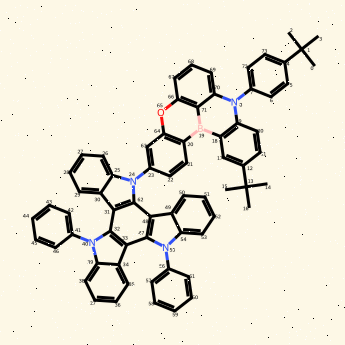 CC(C)(C)c1ccc(N2c3ccc(C(C)(C)C)cc3B3c4ccc(-n5c6ccccc6c6c7c(c8ccccc8n7-c7ccccc7)c7c(c8ccccc8n7-c7ccccc7)c65)cc4Oc4cccc2c43)cc1